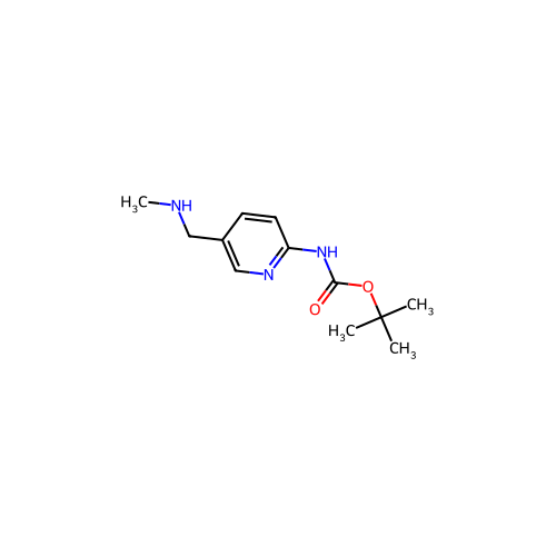 CNCc1ccc(NC(=O)OC(C)(C)C)nc1